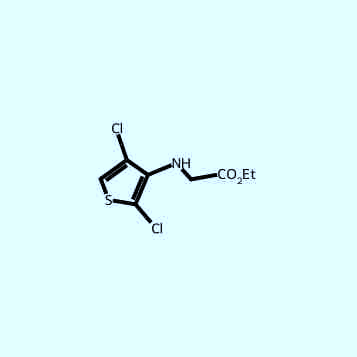 CCOC(=O)CNc1c(Cl)csc1Cl